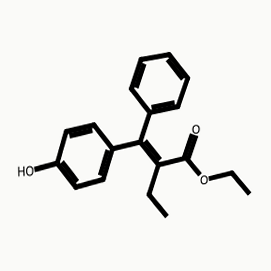 CCOC(=O)C(CC)=C(c1ccccc1)c1ccc(O)cc1